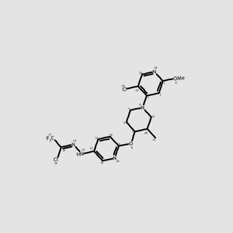 COc1cc(N2CCC(Oc3ccc(NN=C(Cl)C(F)(F)F)cn3)C(C)C2)c(Cl)cn1